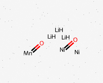 [LiH].[LiH].[LiH].[Ni].[O]=[Mn].[O]=[Ni]